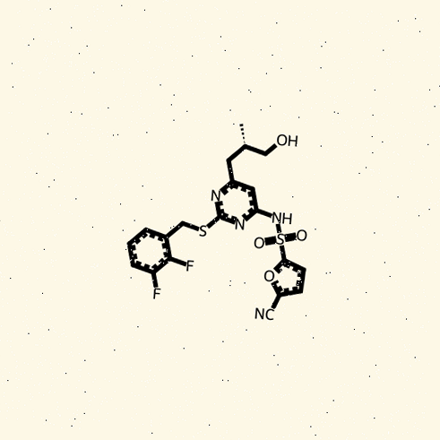 C[C@H](CO)Cc1cc(NS(=O)(=O)c2ccc(C#N)o2)nc(SCc2cccc(F)c2F)n1